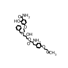 COCCOc1ccc(C[C@H](N)C(=O)OCC(O)CN(CCOc2ccc(C(N)=O)c(O)c2)Cc2ccccc2)cc1